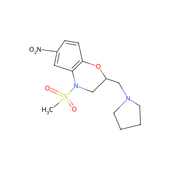 CS(=O)(=O)N1CC(CN2CCCC2)Oc2ccc([N+](=O)[O-])cc21